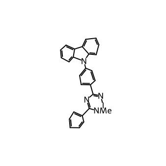 CN/C(=N\C(=N/I)c1ccc(-n2c3ccccc3c3ccccc32)cc1)c1ccccc1